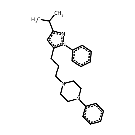 CC(C)c1cc(CCCN2CCN(c3ccccc3)CC2)n(-c2ccccc2)n1